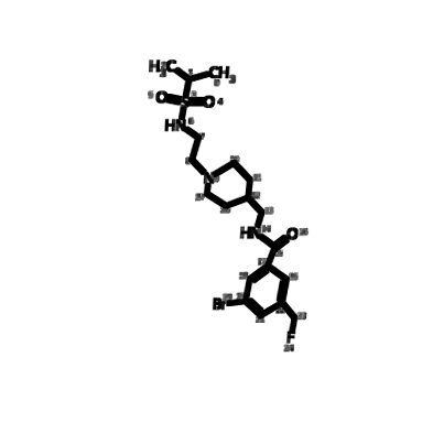 CC(C)S(=O)(=O)NCCN1CCC(CNC(=O)c2cc(Br)cc(CF)c2)CC1